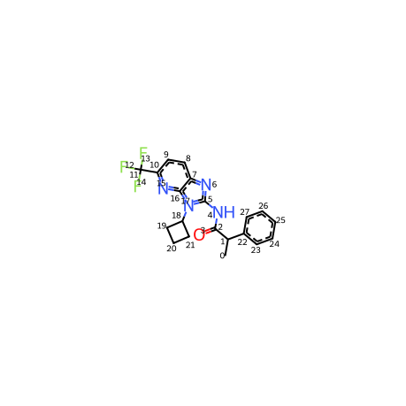 CC(C(=O)Nc1nc2ccc(C(F)(F)F)nc2n1C1CCC1)c1ccccc1